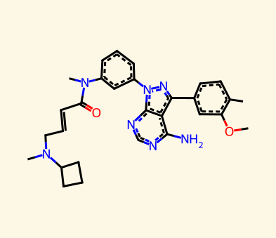 COc1cc(-c2nn(-c3cccc(N(C)C(=O)C=CCN(C)C4CCC4)c3)c3ncnc(N)c23)ccc1C